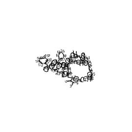 C=C1C(C)CC2CC[C@@H]3OC(CC[C@@]45CC6OC7C(O4)[C@H]4OC(CCC4O[C@H]7C6O5)CC(=O)C[C@H]4C(CC1O2)O[C@H](CC(COC(=O)c1ccccc1)OC(=O)c1ccccc1)[C@@H]4OC)CC3=C